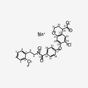 COc1ccccc1CCN(Cl)C(=O)c1ccc(Oc2cc3c(cc2Cl)C(C(=O)[O-])CCO3)cc1.[Na+]